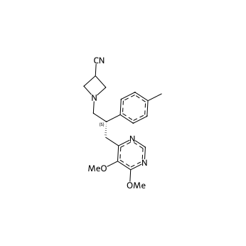 COc1ncnc(C[C@H](CN2CC(C#N)C2)c2ccc(C)cc2)c1OC